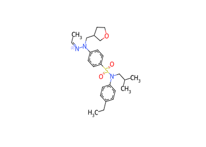 C/C=N\N(CC1CCOC1)c1ccc(S(=O)(=O)N(CC(C)C)c2ccc(CC)cc2)cc1